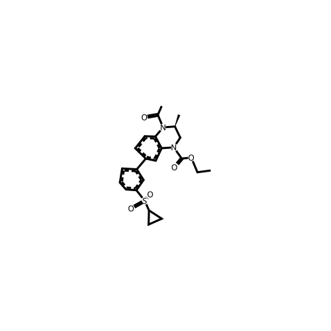 CCOC(=O)N1C[C@H](C)N(C(C)=O)c2ccc(-c3cccc(S(=O)(=O)C4CC4)c3)cc21